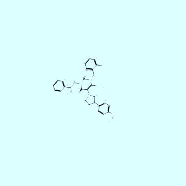 COc1ccc(C2CCN(c3c(C)n(Cc4c(F)cccc4F)c(=O)n(C[C@@H](N)c4ccccc4)c3=O)C2)cc1